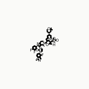 C[C@H]1c2c(nn(-c3ccc(F)c(F)c3)c2-n2ccn(-c3ccc4c(cnn4C)c3F)c2=O)CCN1C(=O)c1cc2cc([C@H]3CCOC(C)(C)C3)ccn2c1C1(c2noc(=O)[nH]2)CC1